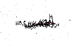 Cc1cc(N=Nc2cc(C)c(N=Nc3c(S(=O)(=O)O)cc4cc(Nc5ccccc5)ccc4c3O)cc2C)c(C)cc1N=Nc1ccc(C(=O)Nc2ccc3c(S(=O)(=O)O)cc(OCCCS(=O)(=O)O)cc3c2)cc1